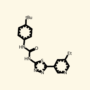 CCc1cncc(-c2nnc(NC(=O)Nc3ccc(C(C)(C)C)cc3)s2)c1